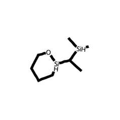 CC([SiH](C)C)[SiH]1CCCCO1